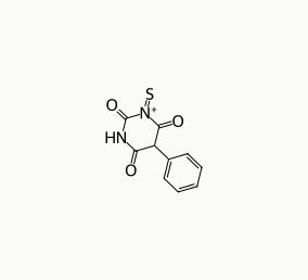 O=C1NC(=O)[N+](=S)C(=O)C1c1ccccc1